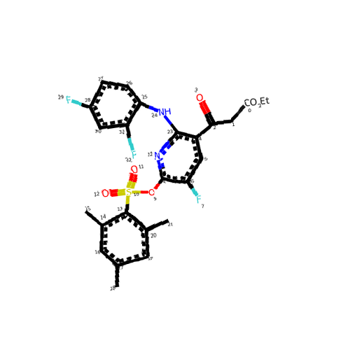 CCOC(=O)CC(=O)c1cc(F)c(OS(=O)(=O)c2c(C)cc(C)cc2C)nc1Nc1ccc(F)cc1F